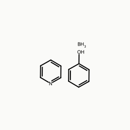 B.Oc1ccccc1.c1ccncc1